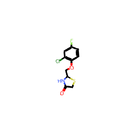 O=C1CSC(COc2ccc(F)cc2Cl)N1